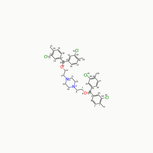 Cc1ccc(B(OCCN2CCN(CCOB(c3ccc(C)c(Cl)c3)c3ccc(C)c(Cl)c3)CC2)c2ccc(C)c(Cl)c2)cc1Cl